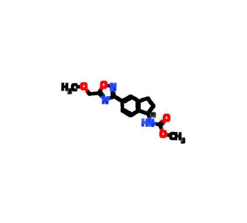 COCc1nc(-c2ccc3c(c2)CC[C@H]3NC(=O)OC)no1